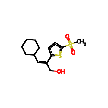 CS(=O)(=O)c1ccc(/C(=C\C2CCCCC2)CO)s1